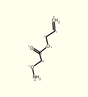 C=CCOC(=O)CON